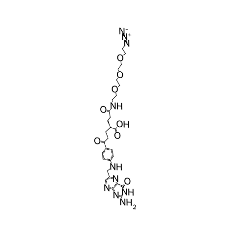 [N-]=[N+]=NCCOCCOCCOCCNC(=O)CC[C@H](CCC(=O)c1ccc(NCc2cnc3nc(N)[nH]c(=O)c3n2)cc1)C(=O)O